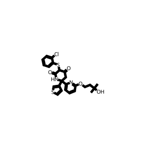 CC(C)(O)CCOc1cccc(C2(c3ccsc3)CC(=O)C(Sc3ccccc3Cl)C(=O)N2)n1